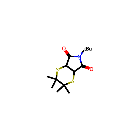 CC(C)(C)N1C(=O)C2SC(C)(C)C(C)(C)SC2C1=O